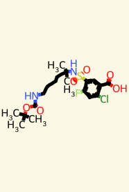 CC(C)(CCCCNC(=O)OC(C)(C)C)NS(=O)(=O)c1cc(C(=O)O)c(Cl)cc1F